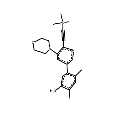 Cc1cc(F)c(N)cc1-c1cnc(C#C[Si](C)(C)C)c(N2CCOCC2)c1